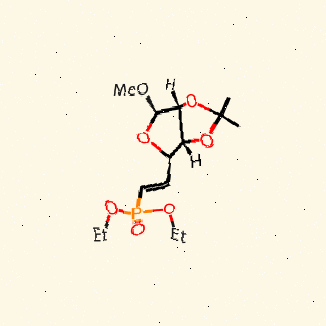 CCOP(=O)(/C=C/[C@H]1O[C@@H](OC)[C@@H]2OC(C)(C)O[C@@H]21)OCC